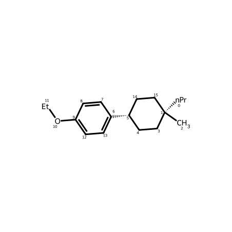 CCC[C@]1(C)CC[C@H](c2ccc(OCC)cc2)CC1